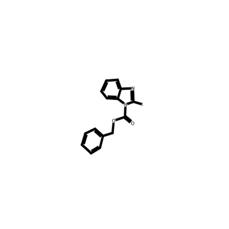 O=C(OCc1ccccc1)n1c(I)nc2ccccc21